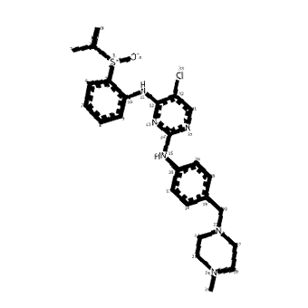 CC(C)[S+]([O-])c1ccccc1Nc1nc(Nc2ccc(CN3CCN(C)CC3)cc2)ncc1Cl